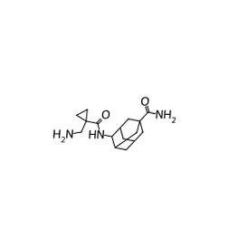 NCC1(C(=O)NC2C3CC4CC2CC(C(N)=O)(C4)C3)CC1